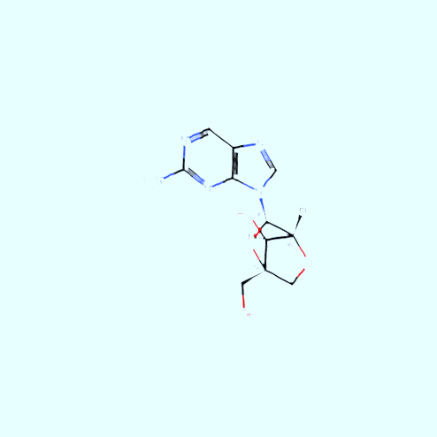 Nc1ncc2ncn([C@@H]3O[C@@]4(CO)CO[C@@H]3[C@@H]4O)c2n1